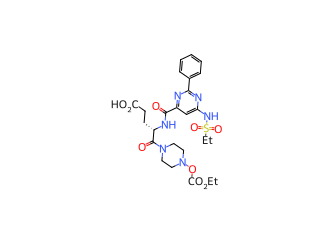 CCOC(=O)ON1CCN(C(=O)[C@H](CCC(=O)O)NC(=O)c2cc(NS(=O)(=O)CC)nc(-c3ccccc3)n2)CC1